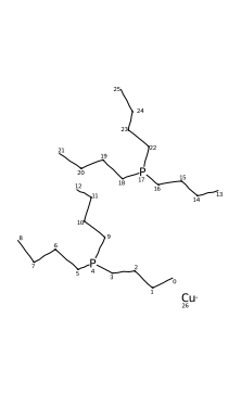 CCCCP(CCCC)CCCC.CCCCP(CCCC)CCCC.[Cu]